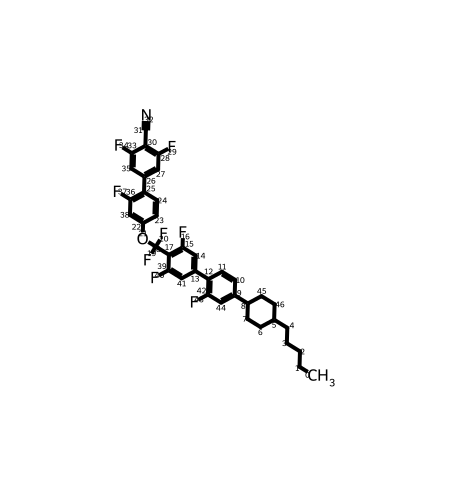 CCCCCC1CCC(c2ccc(-c3cc(F)c(C(F)(F)Oc4ccc(-c5cc(F)c(C#N)c(F)c5)c(F)c4)c(F)c3)c(F)c2)CC1